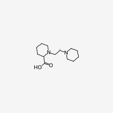 O=C(O)C1CCCCN1C[CH]N1CCCCC1